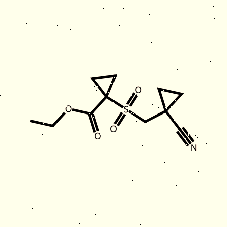 CCOC(=O)C1(S(=O)(=O)CC2(C#N)CC2)CC1